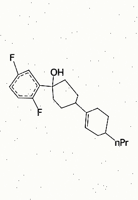 CCCC1CC=C(C2CCC(O)(c3cc(F)ccc3F)CC2)CC1